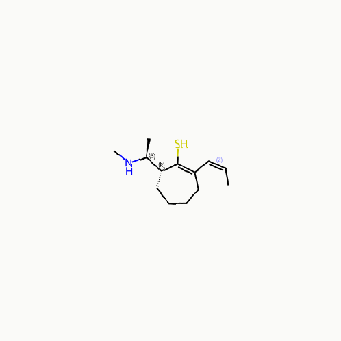 C/C=C\C1=C(S)[C@@H]([C@H](C)NC)CCCC1